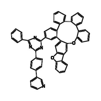 c1ccc(-c2nc(-c3ccc(-c4cccnc4)cc3)nc(-c3ccc4c(c3)-c3cc5oc6ccccc6c5cc3Oc3ccccc3-c3ccccc3-c3ccccc3-4)n2)cc1